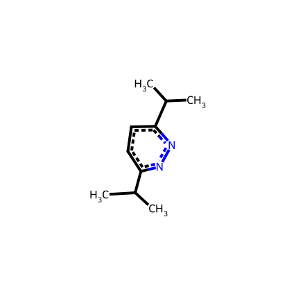 CC(C)c1ccc(C(C)C)nn1